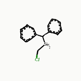 ClC[SiH2]C(c1ccccc1)c1ccccc1